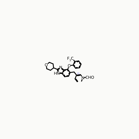 C=C/C(=C\N(C)C=O)Cc1ccc2[nH]c(C3CCOCC3)nc2c1Oc1ccccc1C(F)(F)F